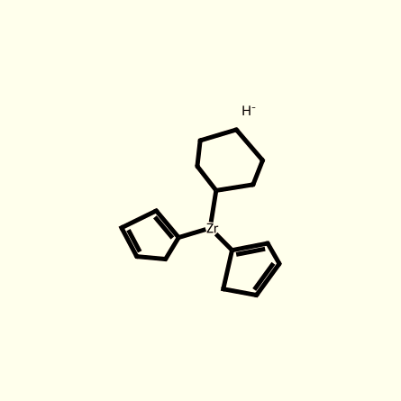 C1=CC[C]([Zr]([C]2=CC=CC2)[CH]2CCCCC2)=C1.[H-]